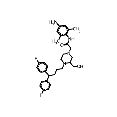 Cc1cc(N)cc(C)c1NC(=O)CN1CCN(CCCC(c2ccc(F)cc2)c2ccc(F)cc2)C(CO)C1